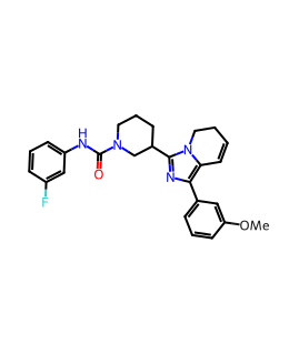 COc1cccc(-c2nc(C3CCCN(C(=O)Nc4cccc(F)c4)C3)n3c2C=CCC3)c1